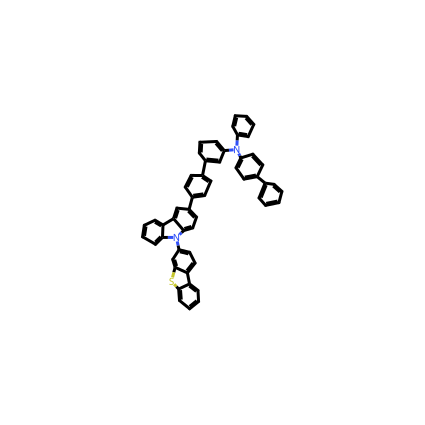 c1ccc(-c2ccc(N(c3ccccc3)c3cccc(-c4ccc(-c5ccc6c(c5)c5ccccc5n6-c5ccc6c(c5)sc5ccccc56)cc4)c3)cc2)cc1